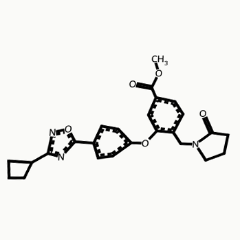 COC(=O)c1ccc(CN2CCCC2=O)c(Oc2ccc(-c3nc(C4CCC4)no3)cc2)c1